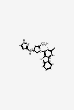 Cc1nc(N2C[C@@H](Nc3cc[nH]n3)C[C@H]2C(=O)O)c2oc3ccccc3c2n1